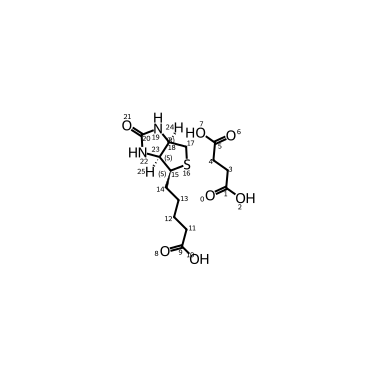 O=C(O)CCC(=O)O.O=C(O)CCCC[C@@H]1SC[C@@H]2NC(=O)N[C@@H]21